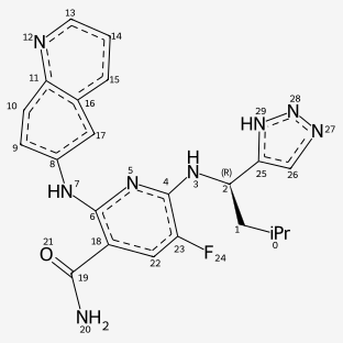 CC(C)C[C@@H](Nc1nc(Nc2ccc3ncccc3c2)c(C(N)=O)cc1F)c1cnn[nH]1